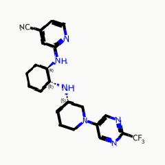 N#Cc1ccnc(N[C@@H]2CCCC[C@H]2N[C@H]2CCCN(c3cnc(C(F)(F)F)nc3)C2)c1